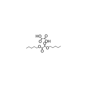 CCCCCOC(=O)C(=O)OCCCCC.O=C(O)C(=O)O